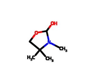 CN1C(O)OCC1(C)C